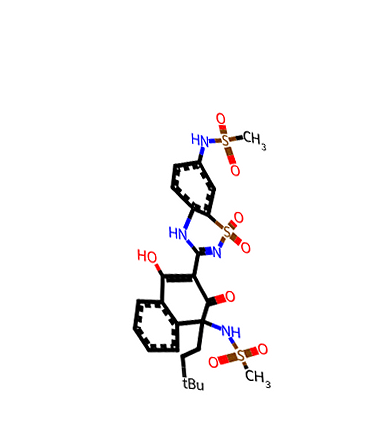 CC(C)(C)CCC1(NS(C)(=O)=O)C(=O)C(C2=NS(=O)(=O)c3cc(NS(C)(=O)=O)ccc3N2)=C(O)c2ccccc21